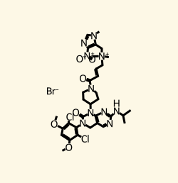 COc1cc(OC)c(Cl)c(N2Cc3cnc(NC(C)C)nc3N(C3CCN(C(=O)/C=C/C[N+](C)(C)Cc4c([N+](=O)[O-])ncn4C)CC3)C2=O)c1Cl.[Br-]